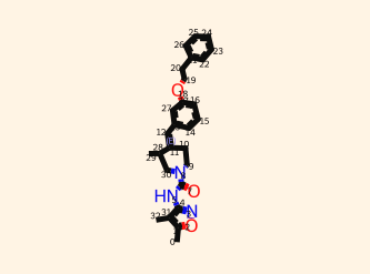 Cc1onc(NC(=O)N2CC/C(=C\c3cccc(OCCc4ccccc4)c3)C(C)C2)c1C